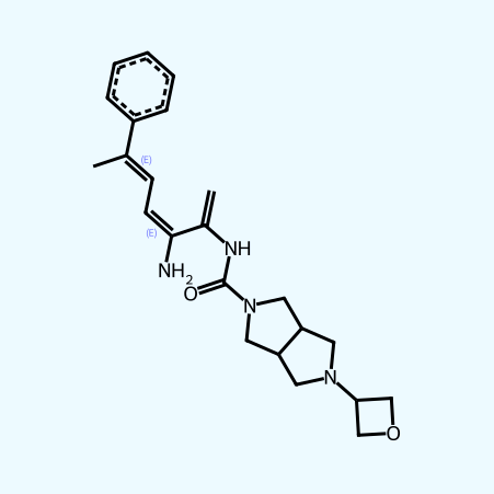 C=C(NC(=O)N1CC2CN(C3COC3)CC2C1)/C(N)=C\C=C(/C)c1ccccc1